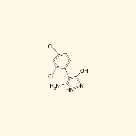 Nc1[nH]nc(O)c1-c1ccc(Cl)cc1Cl